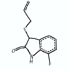 C=CCSC1C(=O)Nc2c(F)cccc21